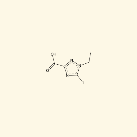 CCn1nc(C(=O)O)nc1I